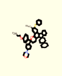 COc1cc2c3c(c4c(c2cc1Sc1ccccc1)-c1ccccc1C41CCC2(CCCCC2)CC1)C=CC(c1ccc(OCCN=O)cc1)(c1ccc(N2CCOCC2)cc1)O3